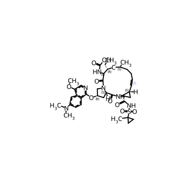 CC[C@@H]1C[C@@H](C)CC/C=C\[C@@H]2C[C@@]2(C(=O)NS(=O)(=O)C2(C)CC2)NC(=O)[C@@H]2C[C@@H](Oc3ncc(OC)c4cc(N(C)C)ccc34)CN2C(=O)[C@H]1NC(=O)O